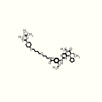 CC[C@@H]1C(=O)N(C)c2cnc(Nc3ccc(C(=O)NCCCOCCCCOC4CCN(C(=O)OC(C)(C)C)CC4)cc3OC)nc2N1C1CCCC1